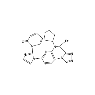 CCC1c2nncn2-c2cnc(-n3ccnc3-n3ccccc3=O)nc2N1C1CCCC1